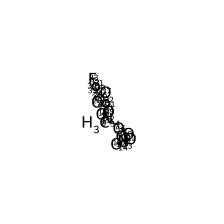 CN(CCCOCC(=O)ON1C(=O)CCC1=O)C(=O)Oc1ccc2c(c1)OCC(c1ccc(F)cc1)C2=O